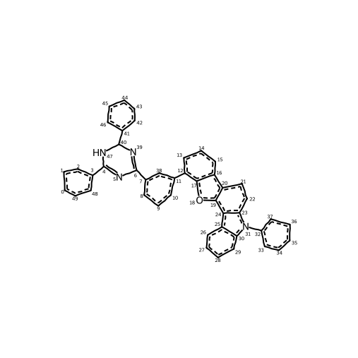 c1ccc(C2=NC(c3cccc(-c4cccc5c4oc4c5ccc5c4c4ccccc4n5-c4ccccc4)c3)=NC(c3ccccc3)N2)cc1